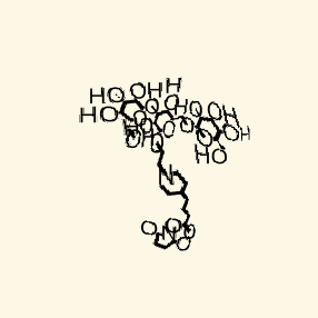 O=C(CCCC1CCN(CCO[C@@H]2O[C@H](CO[C@H]3O[C@H](CO)[C@@H](O)[C@H](O)[C@@H]3O)[C@@H](O)[C@H](O[C@H]3O[C@H](CO)[C@@H](O)[C@H](O)[C@@H]3O)[C@@H]2O)CC1)ON1C(=O)CCC1=O